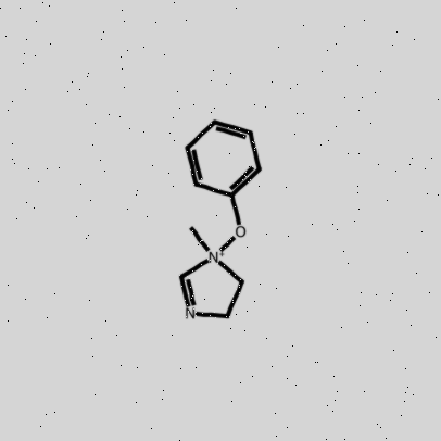 C[N+]1(Oc2ccccc2)C=NCC1